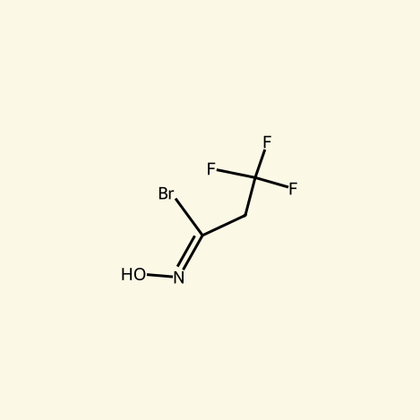 ON=C(Br)CC(F)(F)F